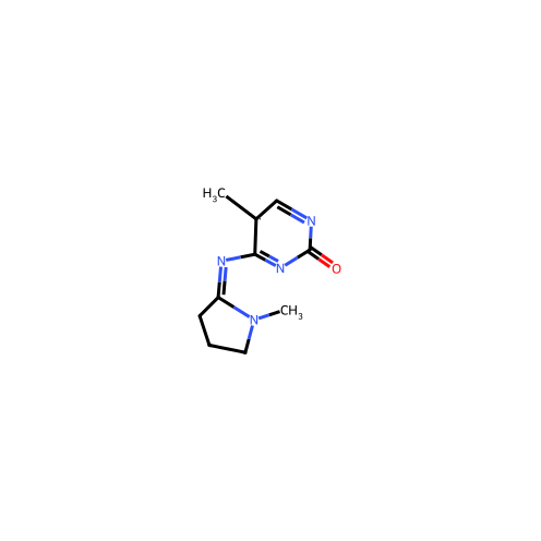 C[C]1C=NC(=O)N=C1/N=C1/CCCN1C